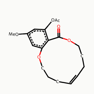 COc1cc2c(c(OC(C)=O)c1)C(=O)OCCCC=CCCCO2